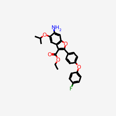 CCOC(=O)c1c(-c2ccc(Oc3ccc(F)cc3)cc2)oc2cc(N)c(OC(C)C)cc12